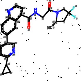 N#C[C@@H]1CC(F)(F)CN1C(=O)CNC(=O)c1ccnc2ccc(-c3ccc(C4CC4)nc3)cc12